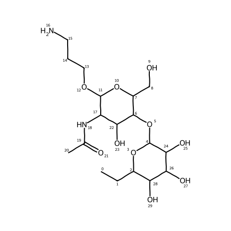 CCC1OC(OC2C(CO)OC(OCCCN)C(NC(C)=O)C2O)C(O)C(O)C1O